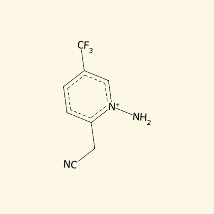 N#CCc1ccc(C(F)(F)F)c[n+]1N